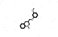 CNCC(COc1cccc(OC)c1)Cc1ccccc1